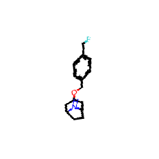 FCc1ccc(COC2CC3CCC(C2)N3)cc1